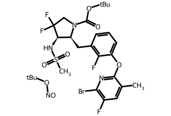 CC(C)(C)ON=O.Cc1cc(F)c(Br)nc1Oc1cccc(C[C@H]2[C@@H](NS(C)(=O)=O)C(F)(F)CN2C(=O)OC(C)(C)C)c1F